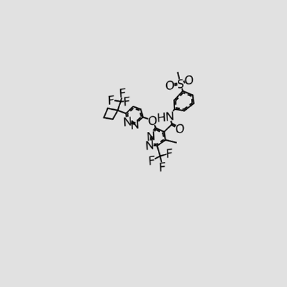 Cc1c(C(F)(F)F)nnc(Oc2ccc(C3(C(F)(F)F)CCC3)nn2)c1C(=O)Nc1cccc(S(C)(=O)=O)c1